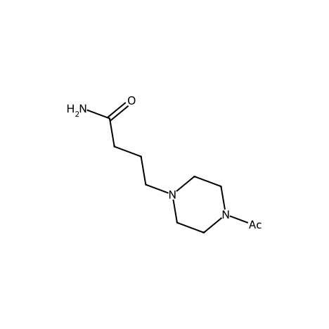 CC(=O)N1CCN(CCCC(N)=O)CC1